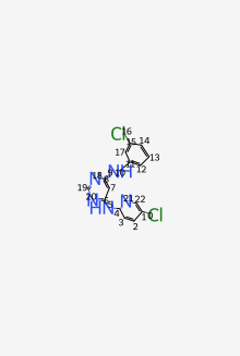 Clc1ccc(Nc2cc(NCc3cccc(Cl)c3)ncn2)nc1